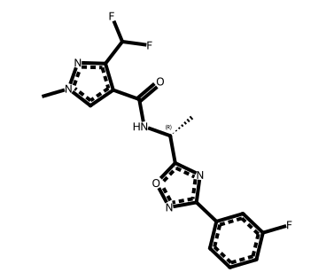 C[C@@H](NC(=O)c1cn(C)nc1C(F)F)c1nc(-c2cccc(F)c2)no1